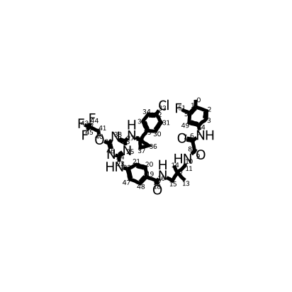 Cc1ccc(NC(=O)C(=O)NCC(C)(C)CNC(=O)c2ccc(Nc3nc(NC4(c5ccc(Cl)cc5)CC4)nc(OCC(F)(F)F)n3)cc2)cc1F